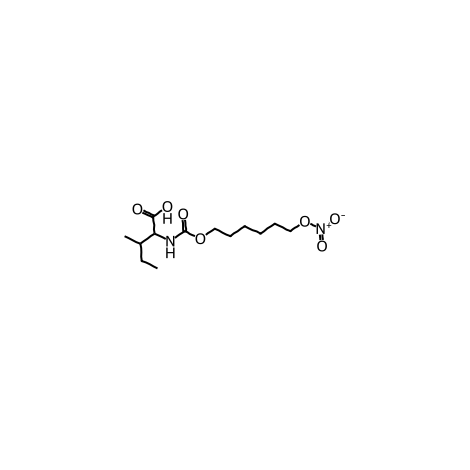 CCC(C)C(NC(=O)OCCCCCCO[N+](=O)[O-])C(=O)O